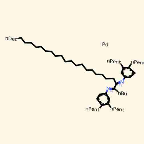 CCCCCCCCCCCCCCCCCCCCCCCCCCCCCC(=N\c1ccc(CCCCC)c(CCCCC)c1)/C(CCCC)=N/c1ccc(CCCCC)c(CCCCC)c1.[Pd]